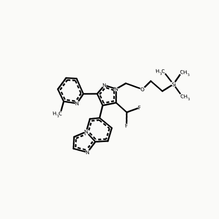 Cc1cccc(-c2nn(COCC[Si](C)(C)C)c(C(F)F)c2-c2ccc3nccn3c2)n1